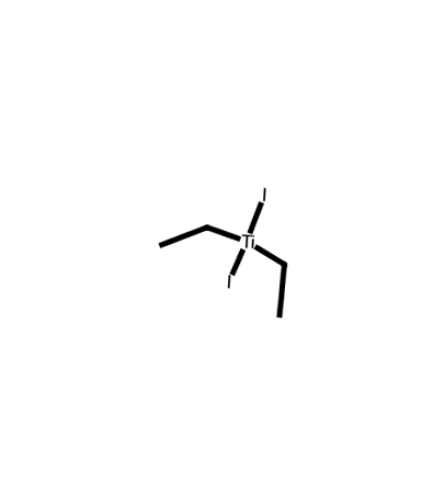 C[CH2][Ti]([I])([I])[CH2]C